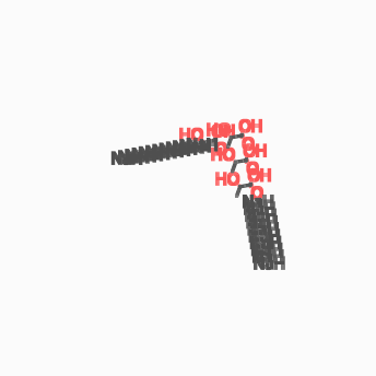 CC(O)C(=O)O.CC(O)C(=O)O.CC(O)C(=O)O.CC(O)C(=O)O.[NaH].[NaH].[NaH].[NaH].[NaH].[NaH].[NaH].[NaH].[NaH].[NaH].[NaH].[NaH].[NaH].[NaH].[NaH].[NaH].[NaH].[NaH].[NaH].[NaH].[NaH].[NaH]